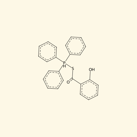 O=C(S[PH](c1ccccc1)(c1ccccc1)c1ccccc1)c1ccccc1O